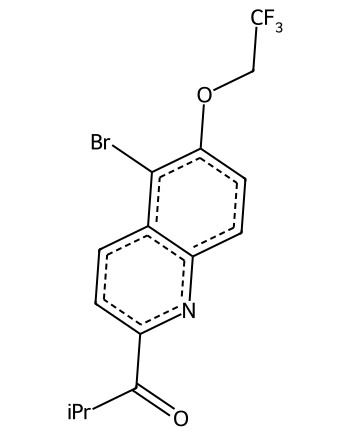 CC(C)C(=O)c1ccc2c(Br)c(OCC(F)(F)F)ccc2n1